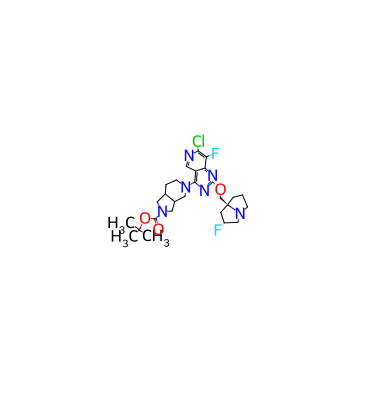 CC(C)(C)OC(=O)N1CC2CCN(c3nc(OC[C@@]45CCCN4C[C@H](F)C5)nc4c(F)c(Cl)ncc34)CC2C1